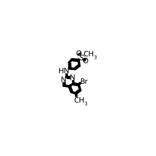 Cc1cc(Br)c2nc(Nc3ccc(S(C)(=O)=O)cc3)ncc2c1